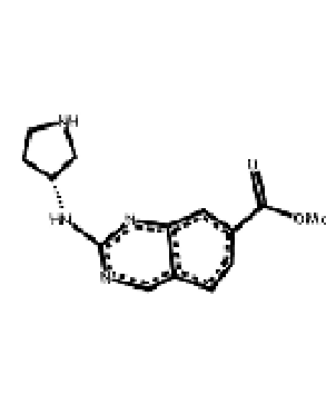 COC(=O)c1ccc2cnc(N[C@@H]3CCNC3)nc2c1